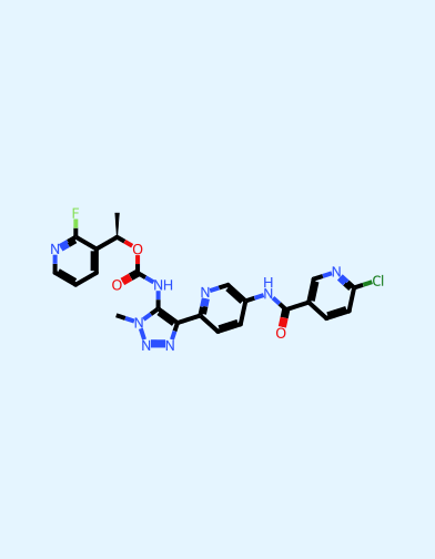 C[C@@H](OC(=O)Nc1c(-c2ccc(NC(=O)c3ccc(Cl)nc3)cn2)nnn1C)c1cccnc1F